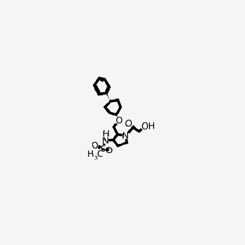 CS(=O)(=O)NC1CCN(C(=O)CO)C1CO[C@H]1CC[C@@H](c2ccccc2)CC1